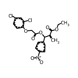 C=C(C(=O)OCC)C(OC(=O)COc1ccc(Cl)cc1Cl)c1ccc([N+](=O)[O-])cc1